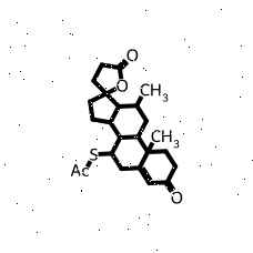 CC(=O)SC1CC2=CC(=O)CCC2(C)C2CC(C)C3C(CCC34CCC(=O)O4)C12